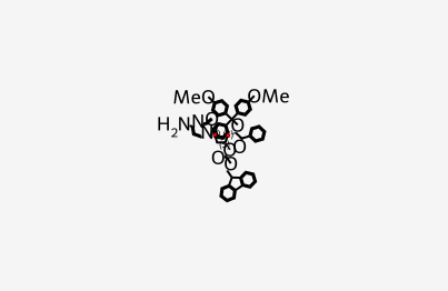 COc1ccc(C(OC(C(=O)c2ccccc2)[C@H]2O[C@@H](n3ccc(N)nc3=O)C[C@@H]2OC(=O)OCC2c3ccccc3-c3ccccc32)(c2ccccc2)c2ccc(OC)cc2)cc1